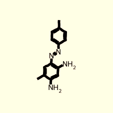 Cc1ccc(N=Nc2cc(C)c(N)cc2N)cc1